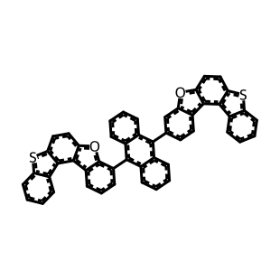 c1ccc2c(c1)sc1ccc3oc4cc(-c5c6ccccc6c(-c6cccc7c6oc6ccc8sc9ccccc9c8c67)c6ccccc56)ccc4c3c12